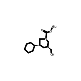 CC(C)(C)OC(=O)N1C[C@@H](CC#N)C[C@@H](C2CCCCC2)C1